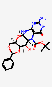 CC(C)(C)OC(=O)N1c2c(nc(N)[nH]c2=O)N[C@@H]2O[C@@H]3COC(c4ccccc4)O[C@@H]3[C@H](O)[C@@H]21